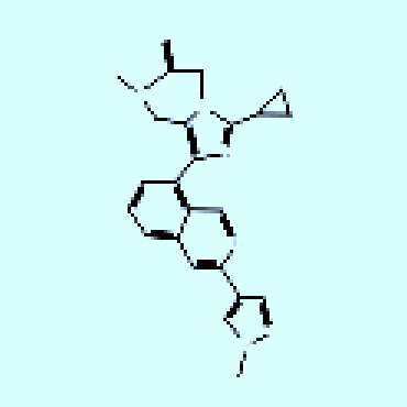 C[C@H]1C(=O)N(C)Cc2c(-c3cccc4cc(-c5cnn(C)c5)ncc34)nc(C3CC3)n21